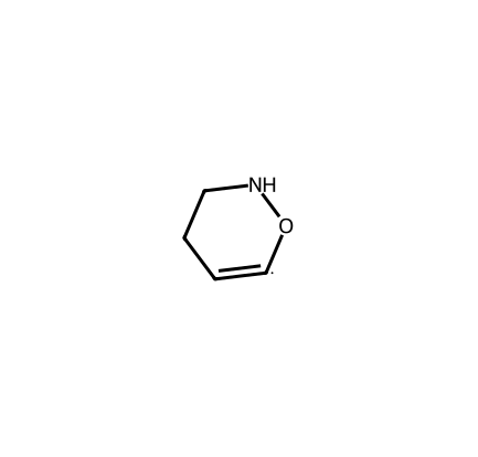 [C]1=CCCNO1